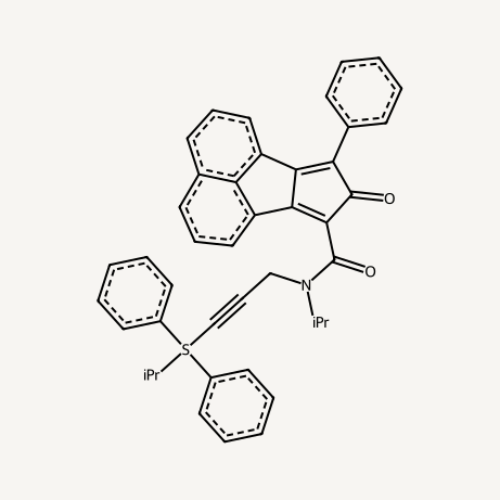 CC(C)N(CC#CS(c1ccccc1)(c1ccccc1)C(C)C)C(=O)C1=C2C(=C(c3ccccc3)C1=O)c1cccc3cccc2c13